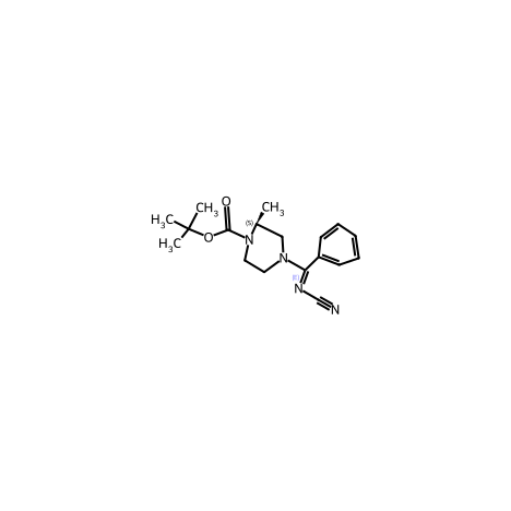 C[C@H]1CN(/C(=N/C#N)c2ccccc2)CCN1C(=O)OC(C)(C)C